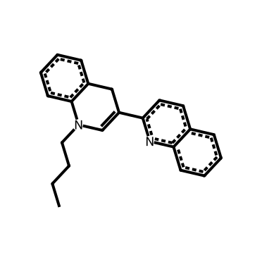 CCCCN1C=C(c2ccc3ccccc3n2)Cc2ccccc21